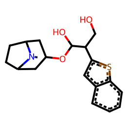 CN1C2CCC1CC(OC(O)C(CO)c1cc3ccccc3s1)C2